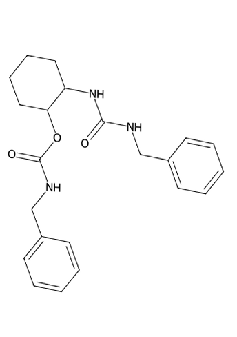 O=C(NCc1ccccc1)NC1CCCCC1OC(=O)NCc1ccccc1